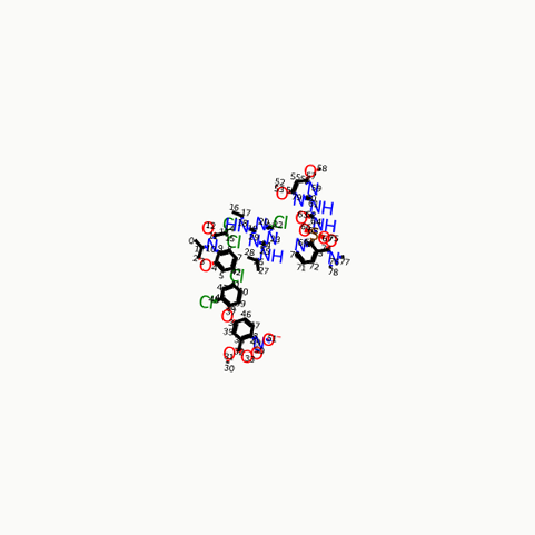 CC1COc2ccccc2N1C(=O)C(Cl)Cl.CCNc1nc(Cl)nc(NC(C)C)n1.COC(=O)c1cc(Oc2ccc(Cl)cc2Cl)ccc1[N+](=O)[O-].COc1cc(OC)nc(NC(=O)NS(=O)(=O)c2ncccc2C(=O)N(C)C)n1